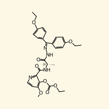 CCOC(=O)Oc1c(OC)ccnc1C(=O)N[C@@H](C)C(=O)NN=C(c1ccc(OCC)cc1)c1ccc(OCC)cc1